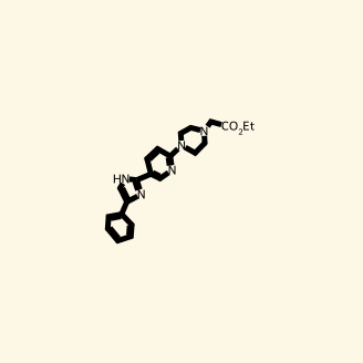 CCOC(=O)CN1CCN(c2ccc(-c3nc(-c4ccccc4)c[nH]3)cn2)CC1